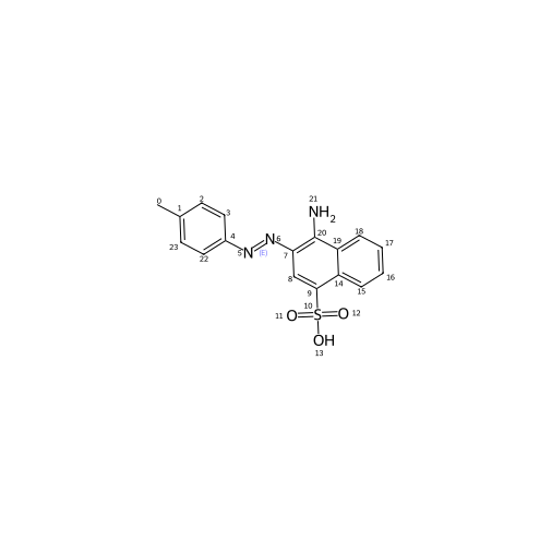 Cc1ccc(/N=N/c2cc(S(=O)(=O)O)c3ccccc3c2N)cc1